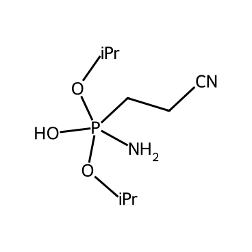 CC(C)OP(N)(O)(CCC#N)OC(C)C